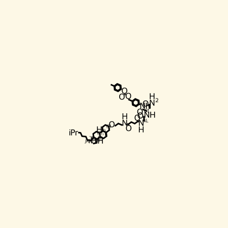 Cc1ccc(OC(=O)OCc2ccc(NC(=O)[C@H](CC(N)=O)NC(=O)[C@H](C)NC(=O)CCC(=O)NCCCO[C@H]3CC[C@@]4(C)C(=CC[C@H]5[C@@H]6CC[C@H]([C@H](C)CCCC(C)C)[C@@]6(C)CC[C@@H]54)C3)cc2)cc1